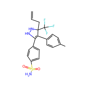 C=CCC1(C(F)(F)F)NNC(c2ccc(S(N)(=O)=O)cc2)=C1c1ccc(C)cc1